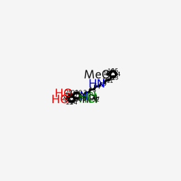 CCCN(CCCCCCNCCCc1ccccc1OC)C1CCc2c(ccc(O)c2O)C1.Cl.Cl